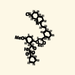 CCOC(COc1ccc(OC)cc1C(=O)NS(=O)(=O)c1ccccc1)c1cccc(/C=C/c2ccc3ccc(Cl)cc3n2)c1